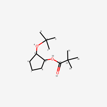 CC(C)(C)OC1CCCC1OC(=O)C(C)(C)C